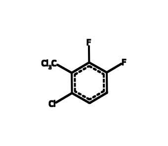 Fc1ccc(Cl)c(C(Cl)(Cl)Cl)c1F